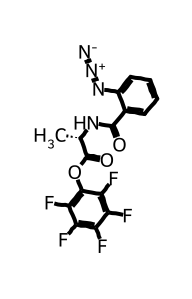 C[C@H](NC(=O)c1ccccc1N=[N+]=[N-])C(=O)Oc1c(F)c(F)c(F)c(F)c1F